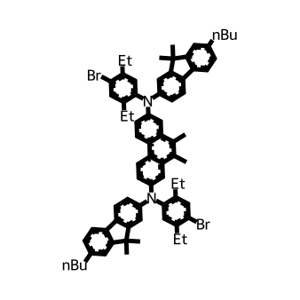 CCCCc1ccc2c(c1)C(C)(C)c1cc(N(c3ccc4c(c3)c(C)c(C)c3cc(N(c5ccc6c(c5)C(C)(C)c5cc(CCCC)ccc5-6)c5cc(CC)c(Br)cc5CC)ccc34)c3cc(CC)c(Br)cc3CC)ccc1-2